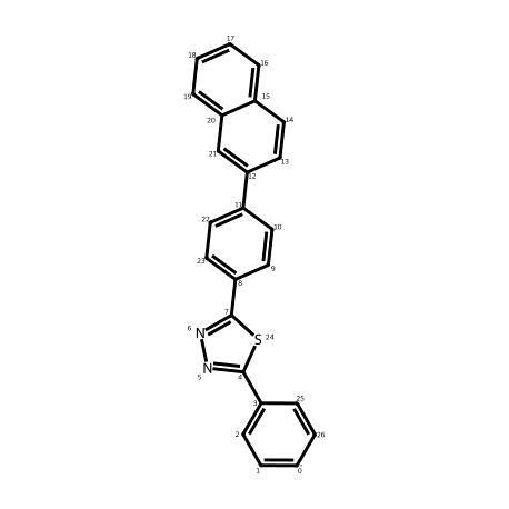 [c]1ccc(-c2nnc(-c3ccc(-c4ccc5ccccc5c4)cc3)s2)cc1